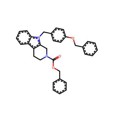 O=C(OCc1ccccc1)N1CCc2c(n(Cc3ccc(OCc4ccccc4)cc3)c3ccccc23)C1